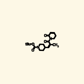 C/C(=C/C1CCN(C(=O)OC(C)(C)C)CC1)C(=O)N1CCC=CC1=O